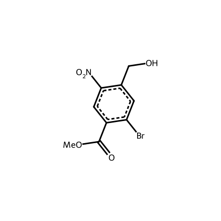 COC(=O)c1cc([N+](=O)[O-])c(CO)cc1Br